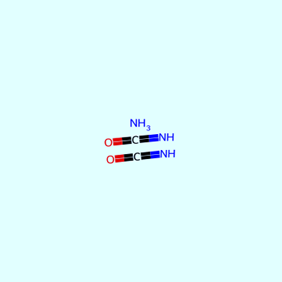 N.N=C=O.N=C=O